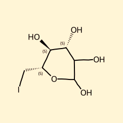 OC1O[C@H](CI)[C@@H](O)[C@H](O)C1O